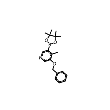 Cc1c(OCc2ccccc2)cncc1B1OC(C)(C)C(C)(C)O1